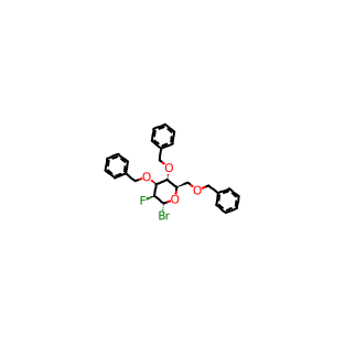 F[C@H]1[C@@H](OCc2ccccc2)[C@H](OCc2ccccc2)[C@@H](COCc2ccccc2)O[C@@H]1Br